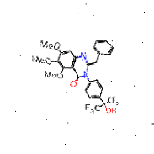 COc1cc2nc(Cc3ccccc3)n(-c3ccc(C(O)(C(F)(F)F)C(F)(F)F)cc3)c(=O)c2c(OC)c1OC